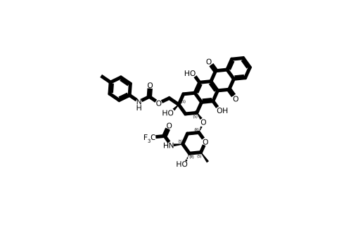 Cc1ccc(NC(=O)OC[C@]2(O)Cc3c(O)c4c(c(O)c3[C@@H](O[C@H]3C[C@H](NC(=O)C(F)(F)F)[C@@H](O)[C@H](C)O3)C2)C(=O)c2ccccc2C4=O)cc1